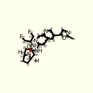 Cc1ncc(-c2cnc3cnc(NC(=O)N4[C@@H]5CC[C@H]4CC(NC(CF)CF)C5)cc3c2)o1